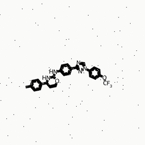 Cc1ccc(C2C=COC(Nc3ccc(-c4ncn(-c5ccc(OC(F)(F)F)cc5)n4)cc3)N2)cc1